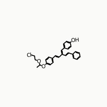 CC(OCCCl)Oc1ccc(C=CC(C=Cc2ccccc2)=Cc2ccc(O)cc2)cc1